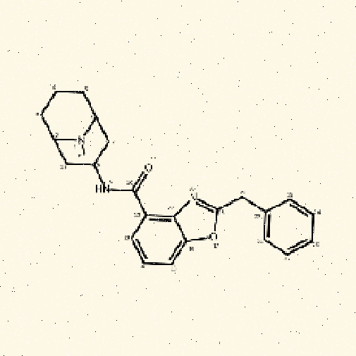 CN1C2CCCC1CC(NC(=O)c1cccc3oc(Cc4ccccc4)nc13)C2